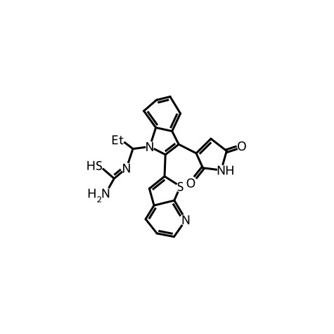 CCC(N=C(N)S)n1c(-c2cc3cccnc3s2)c(C2=CC(=O)NC2=O)c2ccccc21